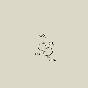 CC(=O)OC[C@H]1CC[C@]2(O)C[C@@H](C=O)CC[C@]12C